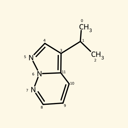 CC(C)c1cnn2ncccc12